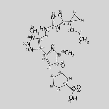 CCOC1(c2nc(NCc3c(-c4ccc(O[C@H]5CCC[C@H](C(=O)O)C5)c(C)n4)nnn3C)no2)CC1